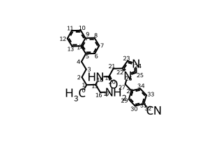 CC(CCCc1cccc2ccccc12)C(CN)NC(=O)Cc1cncn1Cc1ccc(C#N)cc1